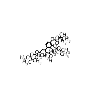 CC(CC(c1ccc(OC(=O)OC(C)(C)C)c(OC(=O)OC(C)(C)C)c1)[C@H](N)C(=O)O)OC(=O)OC(C)C(C)C